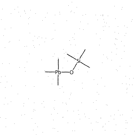 C[Si](C)(C)[O][Pb]([CH3])([CH3])[CH3]